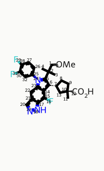 COCC(C)(C)c1c([C@@H]2CC[C@@](C)(C(=O)O)C2)c2c(F)c3[nH]ncc3cc2n1-c1ccc(F)c(F)c1